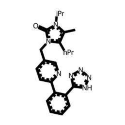 CCCc1c(C)n(C(C)C)c(=O)n1Cc1ccc(-c2ccccc2-c2nnn[nH]2)nc1